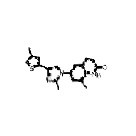 Cc1csc(-c2cn(-c3cc(C)c4[nH]c(=O)ccc4c3)c(C)n2)c1